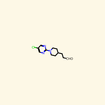 O=CCCC1CCN(c2ncc(Cl)cn2)CC1